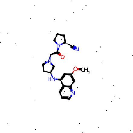 COc1cc(N[C@H]2CCN(CC(=O)N3CCC[C@H]3C#N)C2)c2cccnc2c1